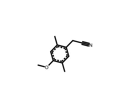 COc1cc(C)c(CC#N)cc1C